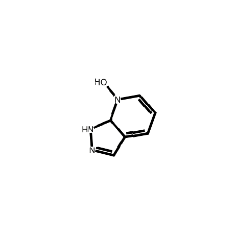 ON1C=CC=C2C=NNC21